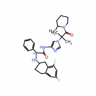 CC1CCCCN1C(=O)C(C)(C)n1cnc(NC(=O)[C@@H](NC2CCc3cc(F)cc(F)c3C2)c2ccccc2)c1